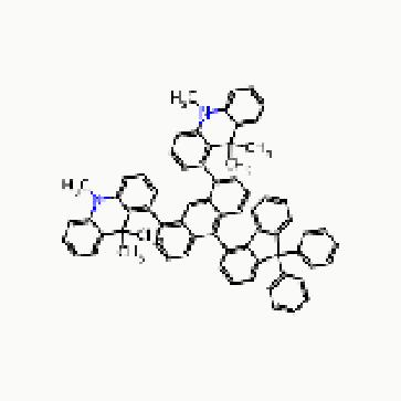 CN1c2ccccc2C(C)(C)c2c(-c3cccc4c(-c5cccc6c5-c5ccccc5C6(c5ccccc5)c5ccccc5)c5cccc(-c6cccc7c6C(C)(C)c6ccccc6N7C)c5cc34)cccc21